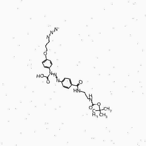 CC(C)(C)OC(=O)NCCNC(=O)c1ccc(N=NN(C(=O)O)c2ccc(OCCCN=[N+]=[N-])cc2)cc1